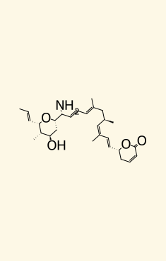 C/C=C/[C@@H]1O[C@H]([C@H](N)/C=C/C=C(\C)C[C@@H](C)/C=C(C)\C=C\[C@H]2CC=CC(=O)O2)C[C@@H](O)[C@@H]1C